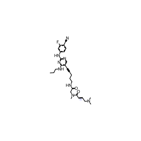 CCCNc1nc(Nc2ccc(C#N)c(F)c2)ncc1C#CCCCNC(=O)CN(C)C(=O)/C=C/CN(C)C